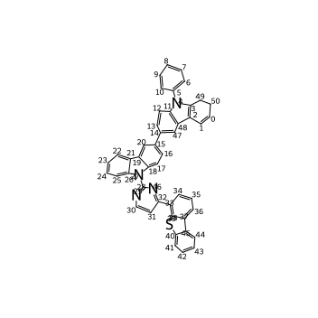 C1=Cc2c(n(-c3ccccc3)c3ccc(-c4ccc5c(c4)c4ccccc4n5-c4nccc(-c5cccc6c5sc5ccccc56)n4)cc23)CC1